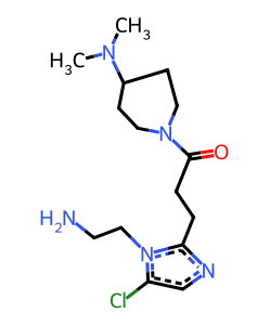 CN(C)C1CCN(C(=O)CCc2ncc(Cl)n2CCN)CC1